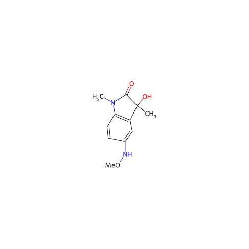 CONc1ccc2c(c1)C(C)(O)C(=O)N2C